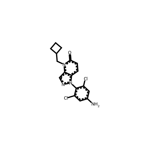 Nc1cc(Cl)c(-n2ncc3c2ccc(=O)n3CC2CCC2)c(Cl)c1